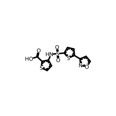 O=C(O)c1sccc1NS(=O)(=O)c1ccc(-c2ccon2)s1